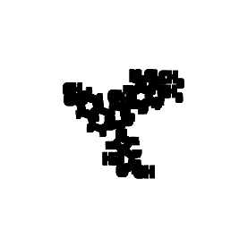 COc1ccc2c(c1)CCN(C(=O)N1CC(O)(CC(=O)O)C1)[C@H]2C(=O)Nc1cc(F)c(S(C)(C)C)c(F)c1